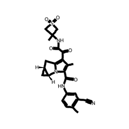 Cc1ccc(NC(=O)c2c(C)c(C(=O)C(=O)NC3(C)CS(=O)(=O)C3)c3n2[C@@H]2C[C@@H]2C3)cc1C#N